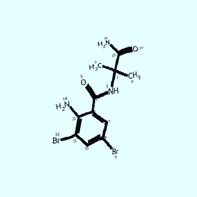 CC(C)(NC(=O)c1cc(Br)cc(Br)c1N)C(N)=O